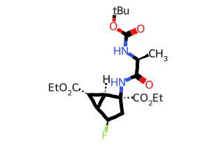 CCOC(=O)[C@H]1C2[C@H](F)C[C@@](NC(=O)[C@H](C)NC(=O)OC(C)(C)C)(C(=O)OCC)[C@@H]21